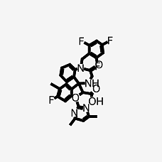 Cc1cc(C)nc(OC(C(=O)O)C2(c3ccc(F)c(C)c3)NCC(=O)N(Cc3c(F)cc(F)cc3F)c3ccccc32)n1